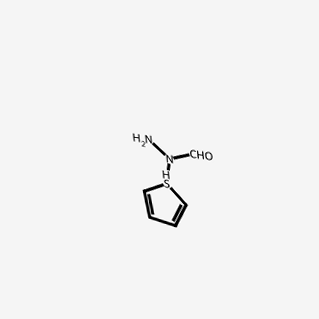 NN(C=O)[SH]1C=CC=C1